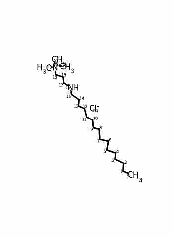 CCCCCCCCCCCCCCCCNCCC[N+](C)(C)C.[Cl-]